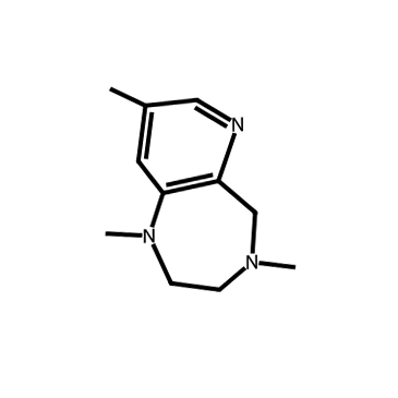 Cc1cnc2c(c1)N(C)CCN(C)C2